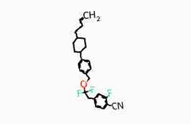 C=CCCC1CCC(c2ccc(COC(F)(F)Cc3ccc(C#N)c(F)c3)cc2)CC1